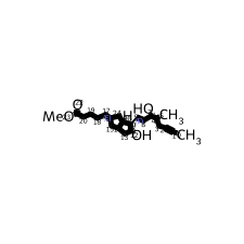 CC#CCC(C)[C@H](O)/C=C/[C@H]1[C@H](O)CC2C/C(=C\CCCC(=O)OC)C[C@@H]21